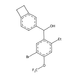 CCc1cc(OC(F)(F)F)c(Br)cc1C(O)c1ccc2c(c1)CC2